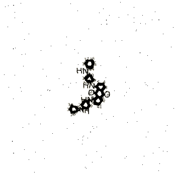 O=C1c2cccc(Nc3ccc(Nc4ccccc4)cc3)c2C(=O)c2c(Nc3ccc(Nc4ccccc4)cc3)cccc21